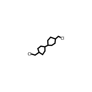 ClCC1CCC(C2CCC(CCl)CC2)CC1